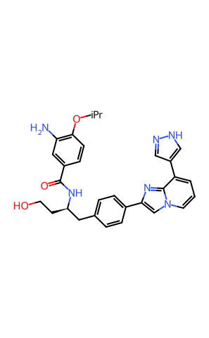 CC(C)Oc1ccc(C(=O)N[C@H](CCO)Cc2ccc(-c3cn4cccc(-c5cn[nH]c5)c4n3)cc2)cc1N